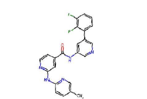 Cc1ccc(Nc2cc(C(=O)Nc3cncc(-c4cccc(F)c4F)c3)ccn2)nc1